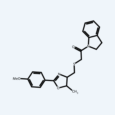 COc1ccc(C2=NC(CSCC(=O)N3CCc4ccccc43)C(C)O2)cc1